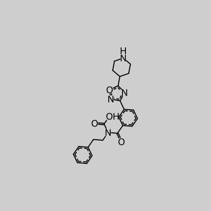 O=C(O)N(CCc1ccccc1)C(=O)c1cccc(-c2noc(C3CCNCC3)n2)c1